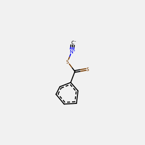 [C-]#[N+]SC(=S)c1ccccc1